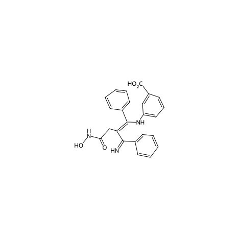 N=C(/C(CC(=O)NO)=C(\Nc1cccc(C(=O)O)c1)c1ccccc1)c1ccccc1